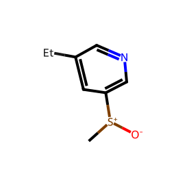 CCc1cncc([S+](C)[O-])c1